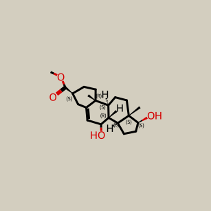 COC(=O)[C@H]1CC[C@@]2(C)C(=CC(O)[C@H]3[C@@H]4CC[C@H](O)[C@@]4(C)CC[C@@H]32)C1